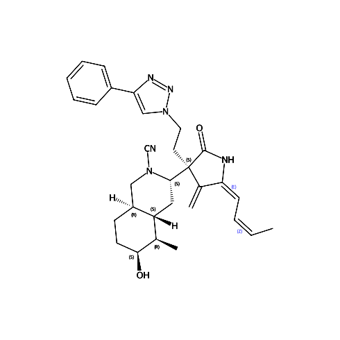 C=C1/C(=C\C=C/C)NC(=O)[C@]1(CCn1cc(-c2ccccc2)nn1)[C@@H]1C[C@H]2[C@@H](CC[C@H](O)[C@@H]2C)CN1C#N